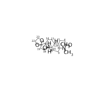 CN1C(=O)CC[C@@]2(C)C1CC[C@@H]1[C@@H]2CC[C@@]2(C)[C@H]1CCC21OCCO1